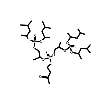 CC(=O)CCSP(=S)(OCC(C)SP(=S)(OC(C)CC(C)C)OC(C)CC(C)C)OC(C)CSP(=S)(OC(C)CC(C)C)OC(C)CC(C)C